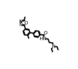 CCN(CC)CCCNC(=O)c1ccc(-c2cc(-c3nnc(C)o3)ccc2C)cc1